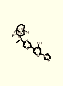 CN(c1cnc(-c2cnc(-n3ccnc3)cc2O)cn1)[C@@H]1C[C@H]2CCC[C@H](N2)[C@H]1F